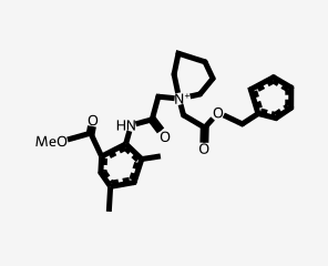 COC(=O)c1cc(C)cc(C)c1NC(=O)C[N+]1(CC(=O)OCc2ccccc2)CCCCC1